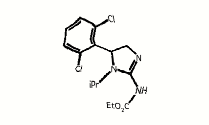 CCOC(=O)NC1=NCC(c2c(Cl)cccc2Cl)N1C(C)C